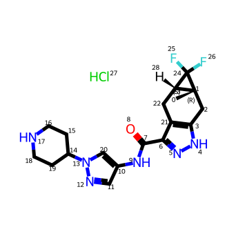 C[C@@]12Cc3[nH]nc(C(=O)Nc4cnn(C5CCNCC5)c4)c3C[C@@H]1C2(F)F.Cl